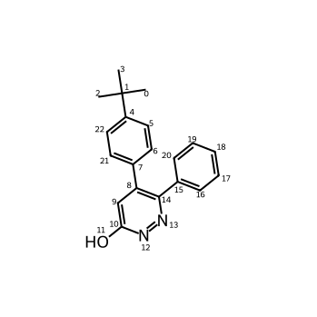 CC(C)(C)c1ccc(-c2cc(O)nnc2-c2ccccc2)cc1